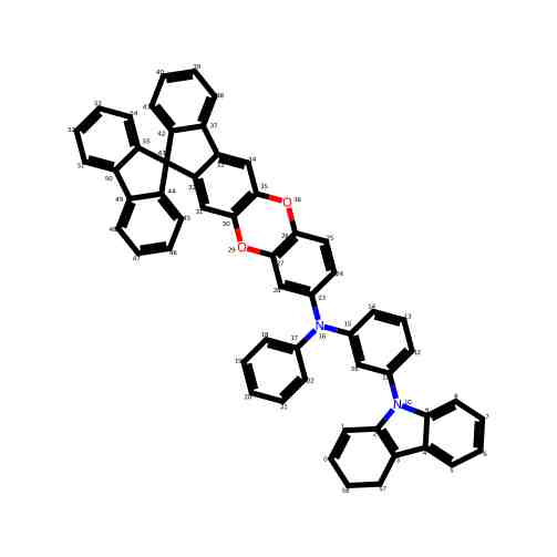 C1=Cc2c(c3ccccc3n2-c2cccc(N(c3ccccc3)c3ccc4c(c3)Oc3cc5c(cc3O4)-c3ccccc3C53c4ccccc4-c4ccccc43)c2)CC1